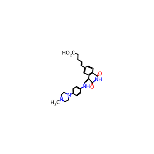 CN1CCN(c2ccc(NC=C3C(=O)NC(=O)c4ccc(C=CCCC(=O)O)cc43)cc2)CC1